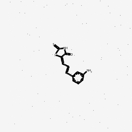 Nc1cccc(C=CC=C2SC(=S)NC2=O)c1